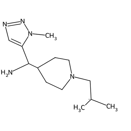 C[C](C)CN1CCC(C(N)c2cnnn2C)CC1